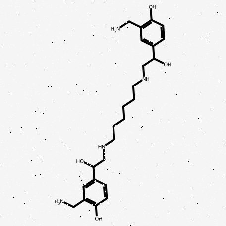 NCc1cc(C(O)CNCCCCCCNCC(O)c2ccc(O)c(CN)c2)ccc1O